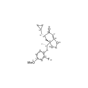 COc1ccc(C[C@H](C)[C@]23C[C@H](CC4CC4)C(=O)C=C2OCO3)c(F)c1